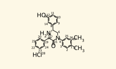 Cc1ccc(N(CCc2cccc(O)c2)C(=O)[C@@H](N)c2ccccc2)cc1C.Cl